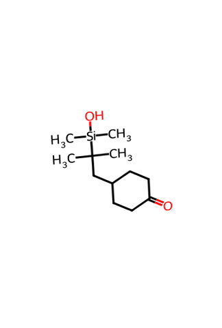 CC(C)(CC1CCC(=O)CC1)[Si](C)(C)O